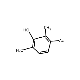 CC(=O)c1ccc(C)c(O)c1C